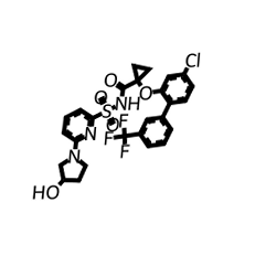 O=C(NS(=O)(=O)c1cccc(N2CCC(O)C2)n1)C1(Oc2cc(Cl)ccc2-c2cccc(C(F)(F)F)c2)CC1